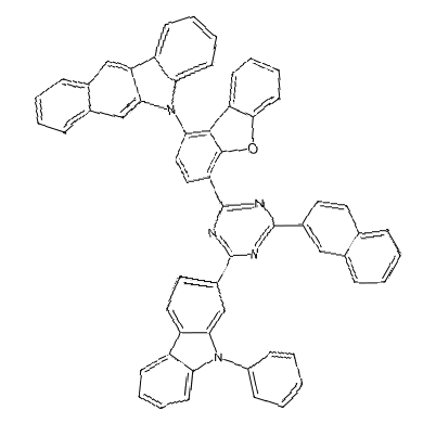 c1ccc(-n2c3ccccc3c3ccc(-c4nc(-c5ccc6ccccc6c5)nc(-c5ccc(-n6c7ccccc7c7cc8ccccc8cc76)c6c5oc5ccccc56)n4)cc32)cc1